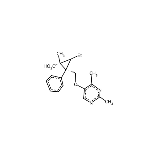 CCC1[C@@](C)(C(=O)O)[C@]1(COc1cnc(C)nc1C)c1ccccc1